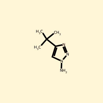 CC(C)(C)c1cn(N)nn1